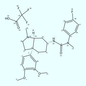 COc1ccc([C@@]23CC[C@@H](NC(=O)N(C)c4ccc(F)cc4)C[C@@H]2N(C)CC3)cc1OC.O=C(O)C(F)(F)F